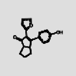 O=C1C(c2ccco2)=C(c2ccc(O)cc2)C2CCCC12